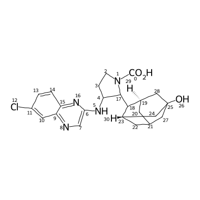 O=C(O)N1CCC(Nc2cnc3cc(Cl)ccc3n2)C1C1[C@@H]2CC3C[C@H]1CC(O)(C3)C2